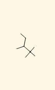 CCCCCC(Cl)C(C)(N)Cl